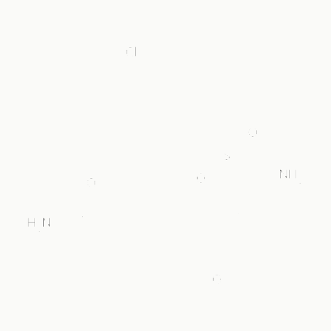 NC(=O)Cc1ccc2c(c1)OCCC2C(N)S(=O)(=O)c1ccc(Cl)cc1